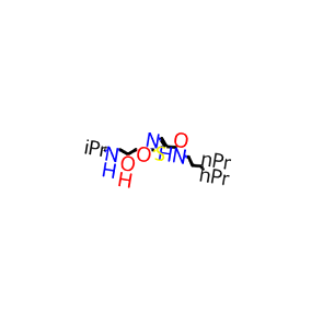 CCCC(CCC)CCNC(=O)c1cnc(OCC(O)CNC(C)C)s1